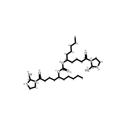 CCCCCC(CCCC(=O)N1CCSC1S)OC(=O)OC(CCCCC)CCCC(=O)N1CCSC1S